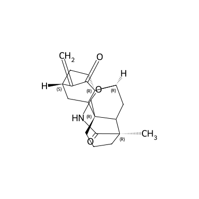 C=C1C(=O)[C@]23CC[C@H]1CC2[C@@]12CCC[C@@]4(C)C(=O)NC1O[C@@H]3CC24